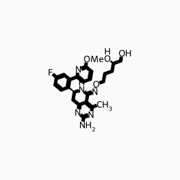 COc1cccc(-c2cc(F)ccc2[C@@H]2Cc3nc(N)nc(C)c3/C(=N/OCCC[C@@H](O)CO)N2)n1